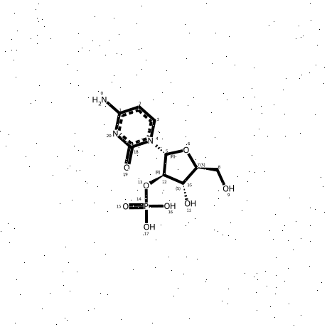 Nc1ccn([C@@H]2O[C@@H](CO)[C@H](O)[C@H]2OP(=O)(O)O)c(=O)n1